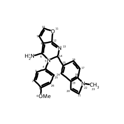 COc1ccc(N2C(N)=c3ccoc3=NC2c2ccc3c(ccn3C)c2)cc1